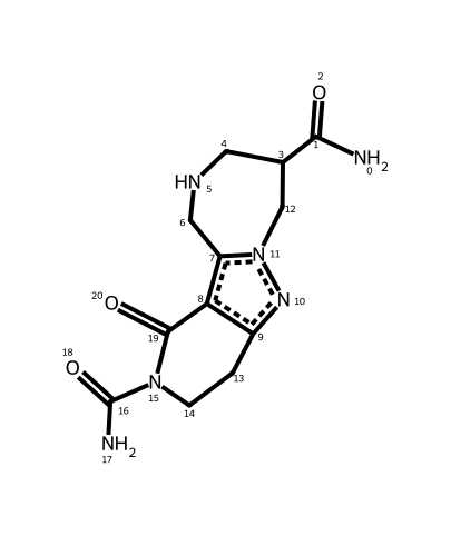 NC(=O)C1CNCc2c3c(nn2C1)CCN(C(N)=O)C3=O